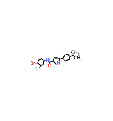 CC(C)c1ccc(-c2ccc(C(=O)Nc3ccc(Br)c(Cl)c3)cn2)cc1